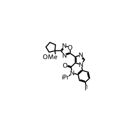 COC1(c2noc(-c3ncn4c3c(=O)n(C(C)C)c3cc(F)ccc34)n2)CCCC1